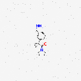 NCc1cccc(C2(C(=O)N3CCCC3)CC2)c1